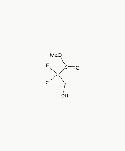 COS(=O)C(F)(F)CO